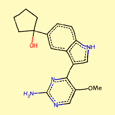 COc1cnc(N)nc1-c1c[nH]c2ccc(C3(O)CCCC3)cc12